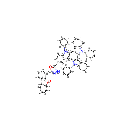 c1ccc(-n2c3ccccc3c3c2c2c4ccccc4n(-c4ccccc4)c2c2c4cc(-c5nnc(-c6cccc7c6oc6ccccc67)o5)ccc4n(-c4ccccc4)c32)cc1